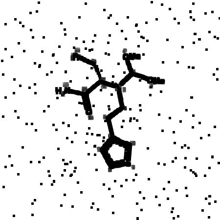 COC(OC)N(CCc1ccsc1)[C@@H](CC(C)C)C(N)=O